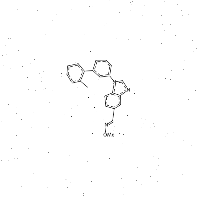 CON=Cc1ccc2c(c1)ncn2-c1cccc(-c2ccccc2C)c1